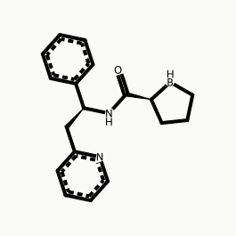 O=C(N[C@@H](Cc1ccccn1)c1ccccc1)[C@H]1BCCC1